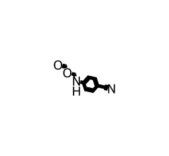 N#Cc1ccc(NCOC=O)cc1